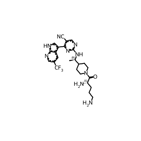 C[C@@H](Nc1ncc(C#N)c(-c2c[nH]c3ncc(C(F)(F)F)cc23)n1)C1CCN(C(=O)[C@@H](N)CCCN)CC1